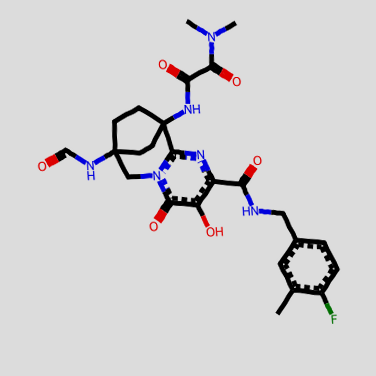 Cc1cc(CNC(=O)c2nc3n(c(=O)c2O)CC2(NC=O)CCC3(NC(=O)C(=O)N(C)C)CC2)ccc1F